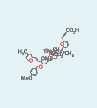 C=C(CC(/C=C/C[C@H](OCc1ccc(OC)cc1)C(/C=C/[C@@H]1CC(C)=CCO1)OC)O[Si](C)(C)C(C)(C)C)C[C@H](C)C[C@@H]1CC=C[C@@H](CC#CC(=O)O)O1